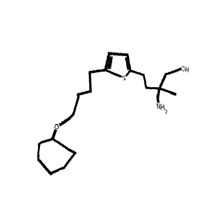 CC(N)(CO)CCc1ccc(CCCCOC2CCCCC2)s1